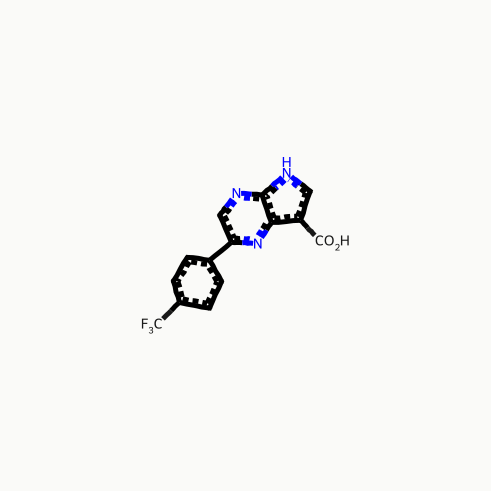 O=C(O)c1c[nH]c2ncc(-c3ccc(C(F)(F)F)cc3)nc12